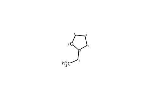 CCC1[CH]CCO1